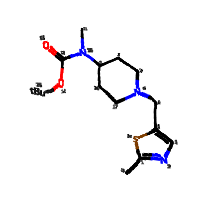 Cc1ncc(CN2CCC(N(C)C(=O)OC(C)(C)C)CC2)s1